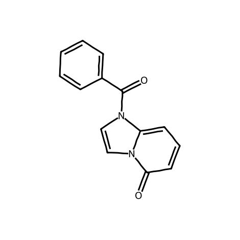 O=C(c1ccccc1)n1ccn2c(=O)cccc12